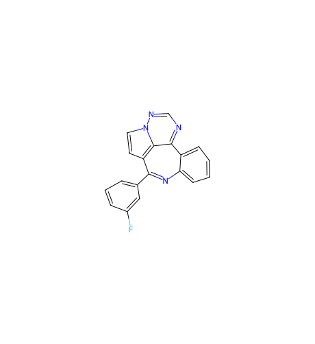 Fc1cccc(C2=Nc3ccccc3-c3ncnn4ccc2c34)c1